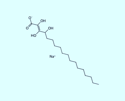 CCCCCCCCCCCCCCC(O)C(O)=C(O)C(=O)[O-].[Na+]